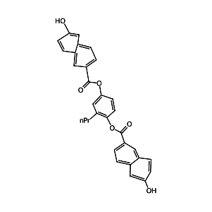 CCCc1cc(OC(=O)c2ccc3cc(O)ccc3c2)ccc1OC(=O)c1ccc2cc(O)ccc2c1